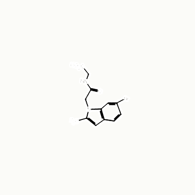 O=C(O)CNC(=O)Cn1c(C(F)(F)F)cc2ccc(Br)cc21